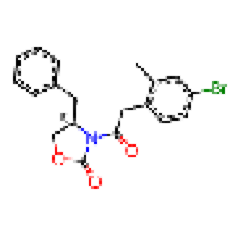 Cc1cc(Br)ccc1CC(=O)N1C(=O)OC[C@H]1Cc1ccccc1